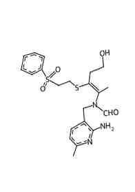 C/C(=C(\CCO)SCCS(=O)(=O)c1ccccc1)N(C=O)Cc1ccc(C)nc1N